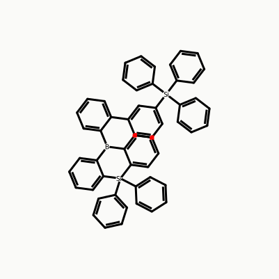 c1ccc([Si](c2ccccc2)(c2ccccc2)c2cccc(-c3ccccc3B3c4ccccc4[Si](c4ccccc4)(c4ccccc4)c4ccccc43)c2)cc1